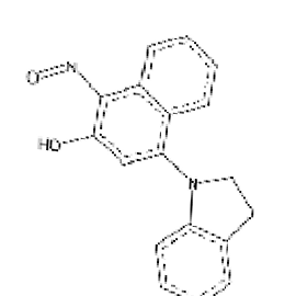 O=Nc1c(O)cc(N2CCc3ccccc32)c2ccccc12